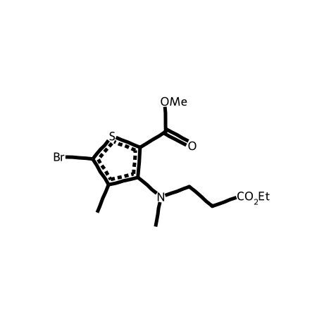 CCOC(=O)CCN(C)c1c(C(=O)OC)sc(Br)c1C